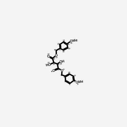 COc1ccc(COC(=O)C(O)C(O)C(=O)OCc2ccc(OC)cc2)cc1